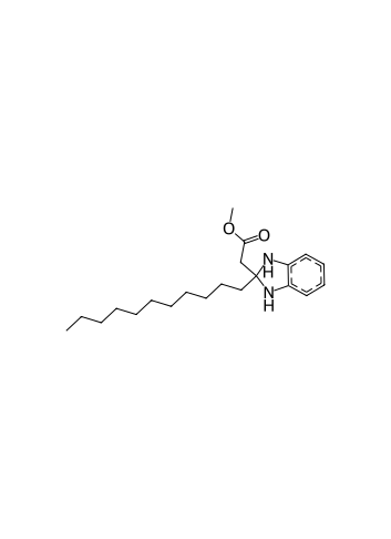 CCCCCCCCCCCC1(CC(=O)OC)Nc2ccccc2N1